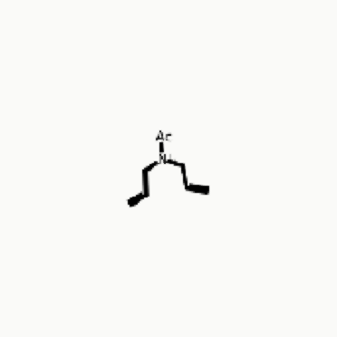 C=CC[N+](CC=C)C(C)=O